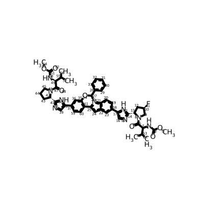 COC(=O)NC(C(=O)N1C[C@H](F)C[C@H]1c1ncc(-c2ccc3c(c2)cc2n3C(c3ccccc3)Oc3cc(-c4cnc([C@@H]5CCCN5C(=O)[C@@H](NC(=O)OC)C(C)C)[nH]4)ccc3-2)[nH]1)C(C)C